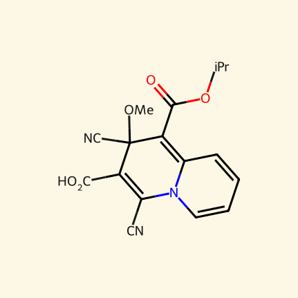 COC1(C#N)C(C(=O)O)=C(C#N)N2C=CC=CC2=C1C(=O)OC(C)C